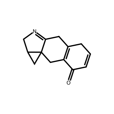 O=C1C=CCC2=C1CC13CC1CN=C3C2